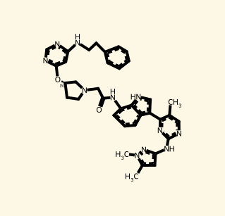 Cc1cnc(Nc2cc(C)n(C)n2)nc1-c1c[nH]c2c(NC(=O)CN3CC[C@H](Oc4cc(NCCc5ccccc5)ncn4)C3)cccc12